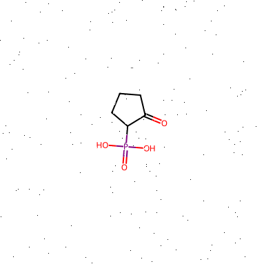 O=C1CCCC1P(=O)(O)O